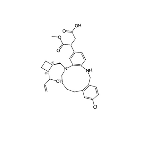 C=CC(O)[C@@H]1CC[C@H]1CN1CCCCc2cc(Cl)ccc2CNc2ccc(C(CC(=O)O)C(=O)OC)cc21